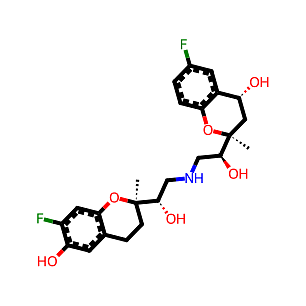 C[C@]1([C@@H](O)CNC[C@H](O)[C@]2(C)C[C@@H](O)c3cc(F)ccc3O2)CCc2cc(O)c(F)cc2O1